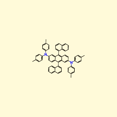 Cc1ccc(N(c2ccc(C)cc2)c2ccc3c(-c4cccc5ccccc45)c4cc(N(c5ccc(C)cc5)c5ccc(C)cc5)ccc4c(-c4cccc5ccccc45)c3c2)cc1